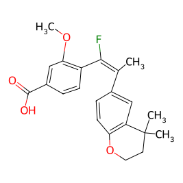 COc1cc(C(=O)O)ccc1/C(F)=C(/C)c1ccc2c(c1)C(C)(C)CCO2